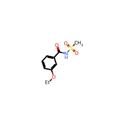 CCOc1cccc(C(=O)NS(C)(=O)=O)c1